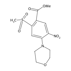 COC(=O)c1cc([N+](=O)[O-])c(N2CCOCC2)cc1S(C)(=O)=O